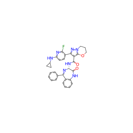 O=C(N[C@H]1N=C(c2ccccc2)c2ccccc2NC1=O)c1c(-c2ccc(NC3CC3)nc2F)nn2c1OCCC2